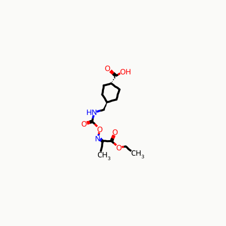 CCOC(=O)C(C)=NOC(=O)NC[C@H]1CC[C@H](C(=O)O)CC1